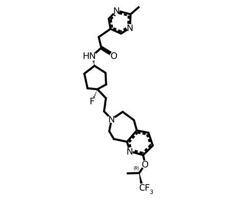 Cc1ncc(CC(=O)N[C@H]2CC[C@](F)(CCN3CCc4ccc(O[C@H](C)C(F)(F)F)nc4CC3)CC2)cn1